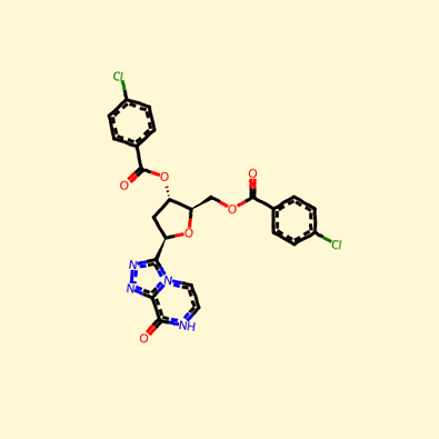 O=C(OC[C@H]1O[C@@H](c2nnc3c(=O)[nH]ccn23)C[C@@H]1OC(=O)c1ccc(Cl)cc1)c1ccc(Cl)cc1